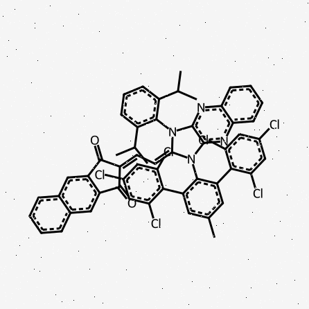 Cc1cc(-c2c(Cl)cc(Cl)cc2Cl)c(N2/C(=C/C=C3C(=O)c4cc5ccccc5cc4C3=O)N(c3c(C(C)C)cccc3C(C)C)c3nc4ccccc4nc32)c(-c2c(Cl)cc(Cl)cc2Cl)c1